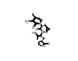 CC(=N)[C@H](C[C@@H]1CCNC1=O)NC(=O)[C@H](CC1CC1)n1ccc(C)c(N)c1=O